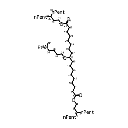 CCCCCC(CCCCC)CCOC(=O)CCCCCCCCC(CCCCCCCC(=O)OCCC(CCCCC)CCCCC)OCCCCN(C)CC